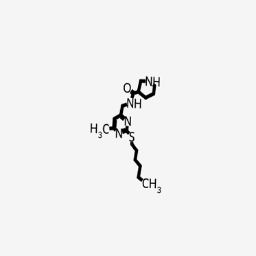 CCCCCCSc1nc(C)cc(CNC(=O)C2CCCNC2)n1